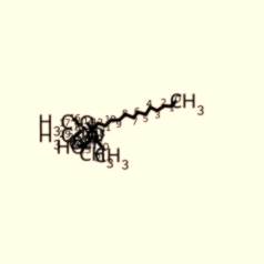 CCCCCCCCCCCCCC(OCCC)(OCCC)N(CC(C)O)CC(C)O